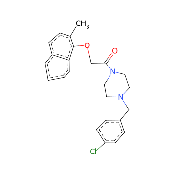 Cc1ccc2ccccc2c1OCC(=O)N1CCN(Cc2ccc(Cl)cc2)CC1